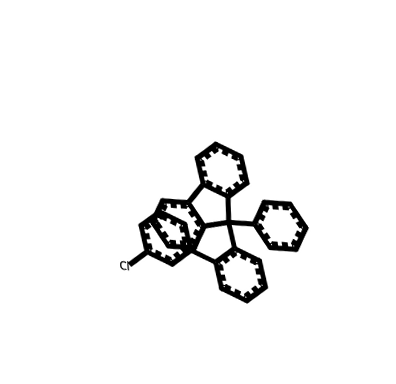 Clc1cccc(-c2ccccc2C2(c3ccccc3)c3ccccc3-c3ccccc32)c1